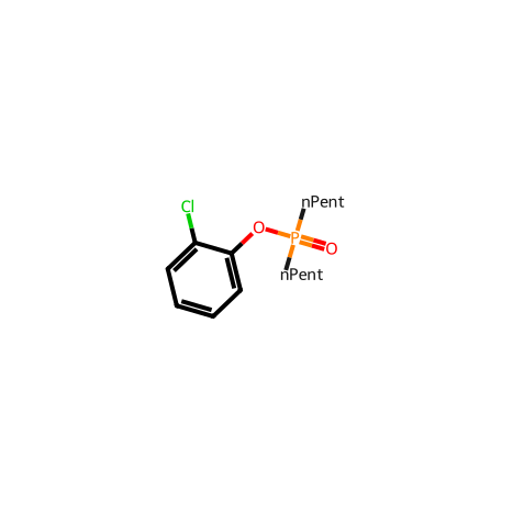 CCCCCP(=O)(CCCCC)Oc1ccccc1Cl